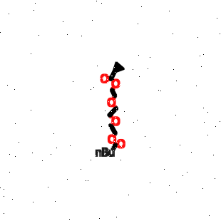 CCCCC(=O)OCCOCCOCCOC(=O)C1CC1